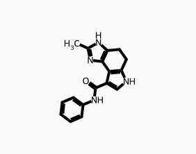 Cc1nc2c([nH]1)CCc1[nH]cc(C(=O)Nc3ccccc3)c1-2